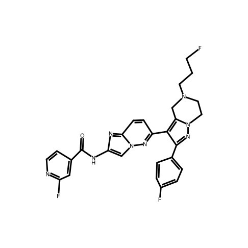 O=C(Nc1cn2nc(-c3c(-c4ccc(F)cc4)nn4c3CN(CCCF)CC4)ccc2n1)c1ccnc(F)c1